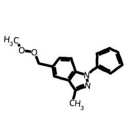 COOCc1ccc2c(c1)c(C)nn2-c1ccccc1